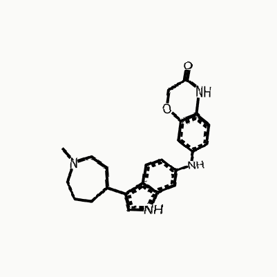 CN1CCCC(c2c[nH]c3cc(Nc4ccc5c(c4)OCC(=O)N5)ccc23)CC1